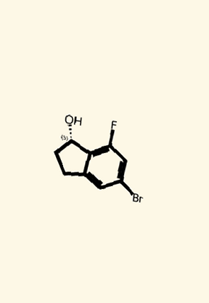 O[C@H]1CCc2cc(Br)cc(F)c21